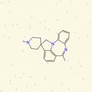 CC1=Nc2ccccc2N2CC3(CCN(C)CC3)c3cccc1c32